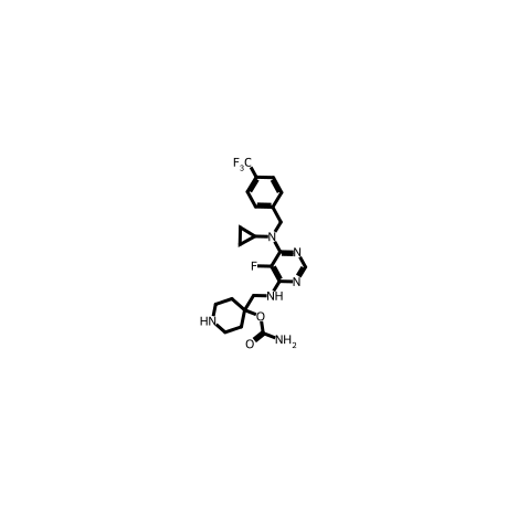 NC(=O)OC1(CNc2ncnc(N(Cc3ccc(C(F)(F)F)cc3)C3CC3)c2F)CCNCC1